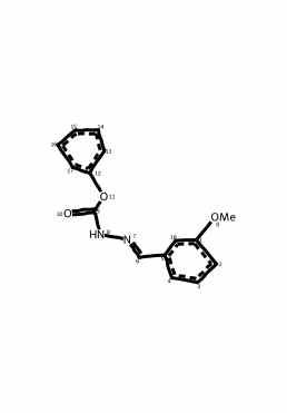 COc1cccc(C=NNC(=O)Oc2ccccc2)c1